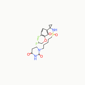 O=C1CCN(CCCCCS(=O)(=O)NC2(c3ccc(F)c(OCC(F)F)c3)CC2)C(=O)N1